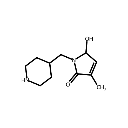 CC1=CC(O)N(CC2CCNCC2)C1=O